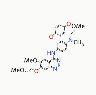 COCCOc1cc2ncnc(Nc3ccc(N(C)CCOC)c(C4=CC(=O)C=CC4=O)c3)c2cc1OC